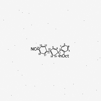 CCCCCCCCC1(c2ccccc2)C=CC(c2ccc(C#N)cc2)=CC1